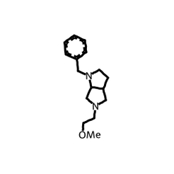 COCCN1CC2CCN(Cc3ccccc3)C2C1